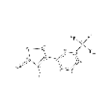 CC1=C(c2cccc(C(F)(F)F)c2)SCC1=S